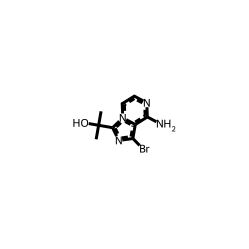 CC(C)(O)c1nc(Br)c2c(N)nccn12